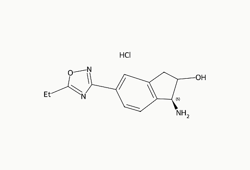 CCc1nc(-c2ccc3c(c2)CC(O)[C@H]3N)no1.Cl